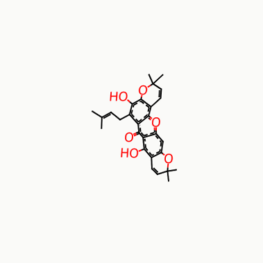 CC(C)=CCc1c(O)c2c(c3oc4cc5c(c(O)c4c(=O)c13)C=CC(C)(C)O5)C=CC(C)(C)O2